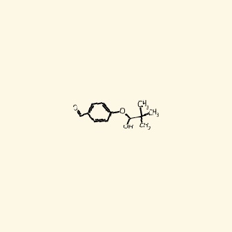 CC(C)(C)C(O)Oc1ccc(C=O)cc1